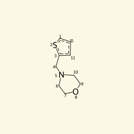 [c]1csc(CN2CCOCC2)c1